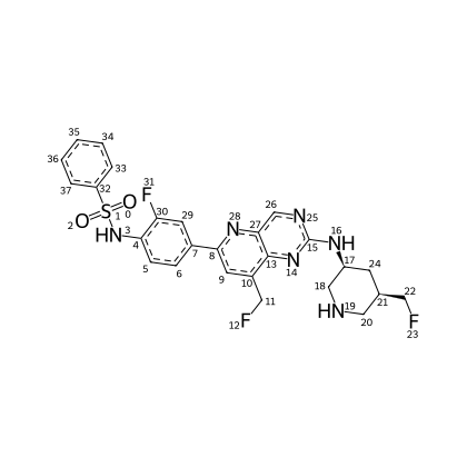 O=S(=O)(Nc1ccc(-c2cc(CF)c3nc(N[C@@H]4CNC[C@H](CF)C4)ncc3n2)cc1F)c1ccccc1